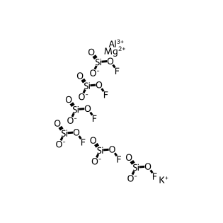 O=[Si]([O-])OF.O=[Si]([O-])OF.O=[Si]([O-])OF.O=[Si]([O-])OF.O=[Si]([O-])OF.O=[Si]([O-])OF.[Al+3].[K+].[Mg+2]